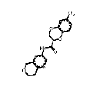 O=C(Nc1cnc2c(c1)COCC2)[C@H]1COc2cc(C(F)(F)F)ccc2O1